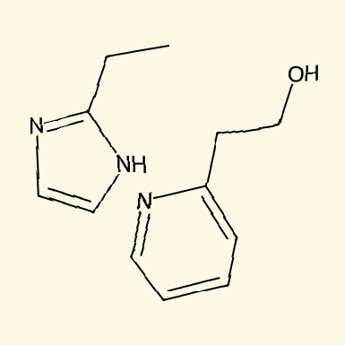 CCc1ncc[nH]1.OCCc1ccccn1